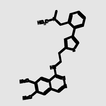 COc1cc2cnnc(NCCc3cc(-c4ccccc4CN(C)C(=O)O)cs3)c2cc1OC